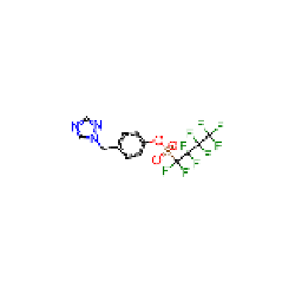 O=S(=O)(Oc1ccc(Cn2cncn2)cc1)C(F)(F)C(F)(F)C(F)(F)C(F)(F)F